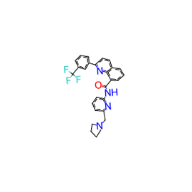 O=C(Nc1cccc(CN2CCCC2)n1)c1cccc2ccc(-c3cccc(C(F)(F)F)c3)nc12